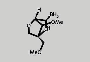 B[C@H]1O[C@]2(COC)CO[C@H]1[C@H]2OC